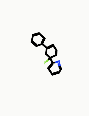 FC1(c2ccccn2)C=CC=C(c2ccccc2)C1